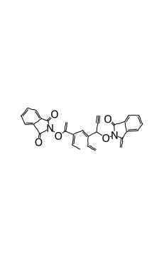 C#CC(ON1C(=C)c2ccccc2C1=O)/C(C=C)=C/C(=C\C)C(=C)ON1C(=O)c2ccccc2C1=O